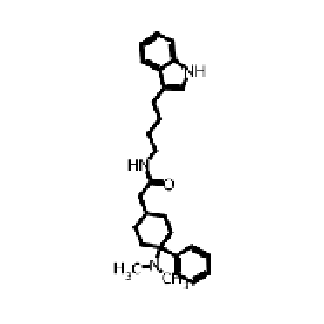 CN(C)C1(c2ccccc2)CCC(CC(=O)NCCCCc2c[nH]c3ccccc23)CC1